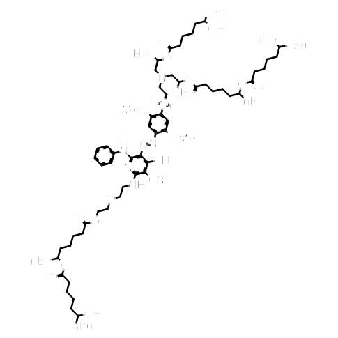 CCCCC(O)CCCCC(=O)OC(C)CN(CCS(=O)(=O)c1cc(OC)c(/N=N/c2c(Nc3ccccc3)nc(NCCOCCOC(=O)CCCCC(CCCC)OC(=O)CCCCC(O)CCCC)c(C#N)c2C)cc1OC)CC(C)OC(=O)CCCCC(CCCC)OC(=O)CCCCC(O)CCCC